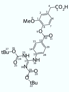 COc1cc(CC(=O)O)ccc1OC(=O)c1ccc(N/C(=N\C(=O)OC(C)(C)C)NC(=O)OC(C)(C)C)cc1